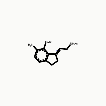 COc1c(N)ccc2c1/C(=C/CNC(C)=O)CC2